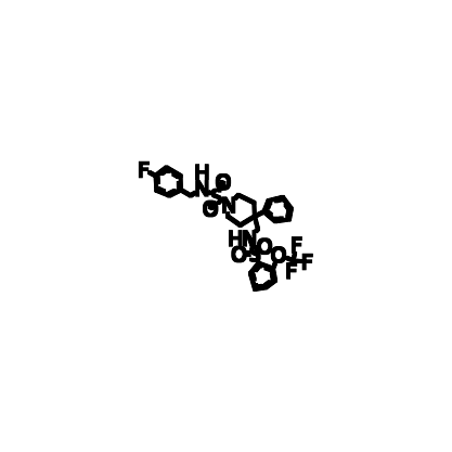 O=S(=O)(NCC1(c2ccccc2)CCN(S(=O)(=O)NCc2ccc(F)cc2)CC1)c1ccccc1OC(F)(F)F